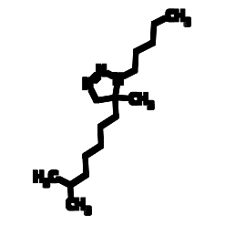 CCCCCN1N=NCC1(C)CCCCCC(C)C